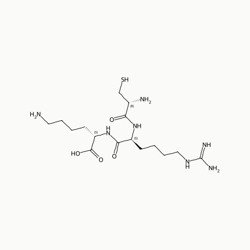 N=C(N)NCCCC[C@H](NC(=O)[C@@H](N)CS)C(=O)N[C@@H](CCCCN)C(=O)O